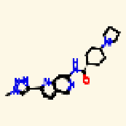 Cn1cc(-c2ccc3cnc(NC(=O)[C@H]4CC[C@H](N5CCCC5)CC4)cc3n2)nn1